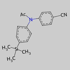 CC(=O)N(c1ccc(C#N)cc1)c1ccc([Si](C)(C)C)cc1